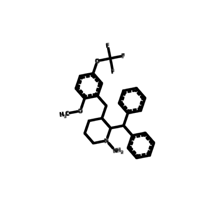 COc1ccc(OC(F)(F)F)cc1CC1CCCN(N)C1C(c1ccccc1)c1ccccc1